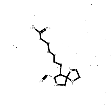 O=C[C@H]1OCC2(OCCO2)[C@@H]1CCCCCCC(=O)O